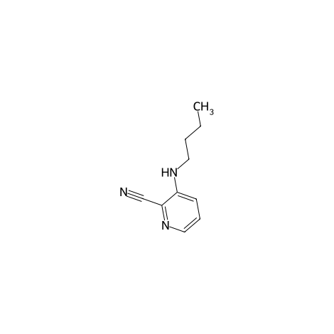 CCCCNc1cccnc1C#N